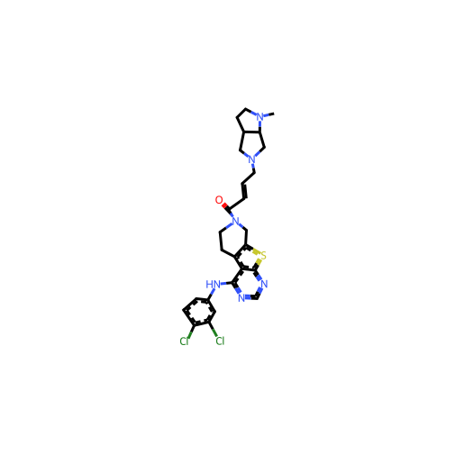 CN1CCC2CN(C/C=C/C(=O)N3CCc4c(sc5ncnc(Nc6ccc(Cl)c(Cl)c6)c45)C3)CC21